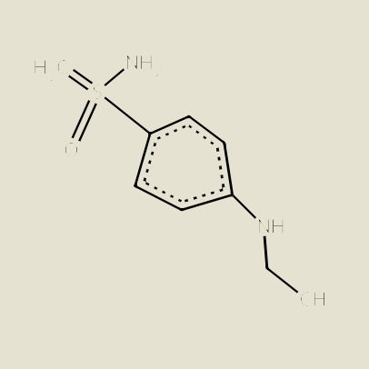 C=S(N)(=O)c1ccc(NCC)cc1